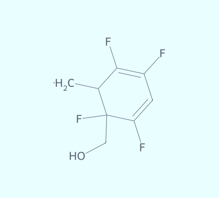 [CH2]C1C(F)=C(F)C=C(F)C1(F)CO